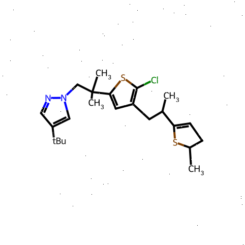 CC1CC=C(C(C)Cc2cc(C(C)(C)Cn3cc(C(C)(C)C)cn3)sc2Cl)S1